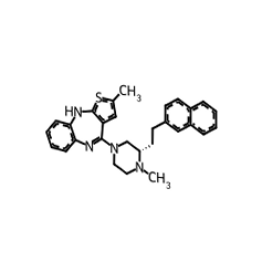 Cc1cc2c(s1)Nc1ccccc1N=C2N1CCN(C)[C@@H](CCc2ccc3ccccc3c2)C1